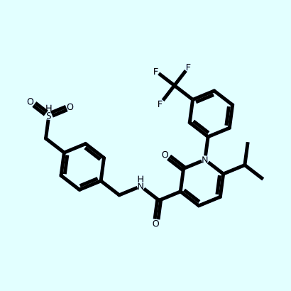 CC(C)c1ccc(C(=O)NCc2ccc(C[SH](=O)=O)cc2)c(=O)n1-c1cccc(C(F)(F)F)c1